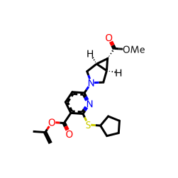 C=C(C)OC(=O)c1ccc(N2C[C@@H]3[C@H](C2)[C@H]3C(=O)OC)nc1SC1CCCC1